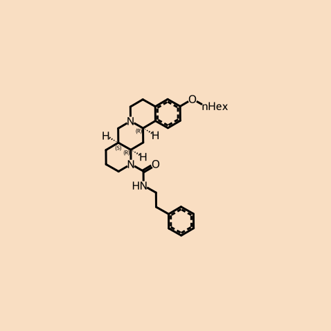 CCCCCCOc1ccc2c(c1)CCN1C[C@@H]3CCCN(C(=O)NCCc4ccccc4)[C@@H]3C[C@H]21